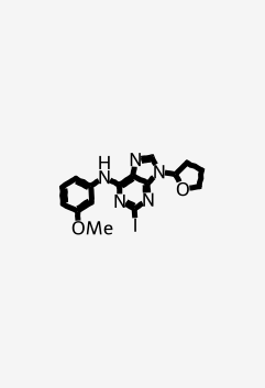 COc1cccc(Nc2nc(I)nc3c2ncn3C2CCCO2)c1